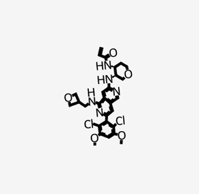 C=CC(=O)N[C@H]1CCOC[C@H]1Nc1cc2c(NCC3COC3)nc(-c3c(Cl)c(OC)cc(OC)c3Cl)cc2cn1